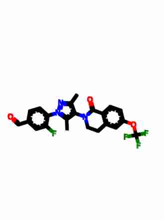 Cc1nn(-c2ccc(C=O)cc2F)c(C)c1N1CCc2cc(OC(F)(F)F)ccc2C1=O